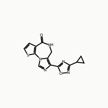 O=C1NCc2c(-c3nc(C4CC4)no3)ncn2-c2sccc21